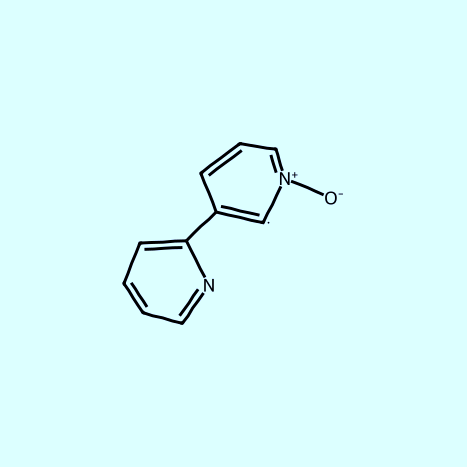 [O-][n+]1[c]c(-c2ccccn2)ccc1